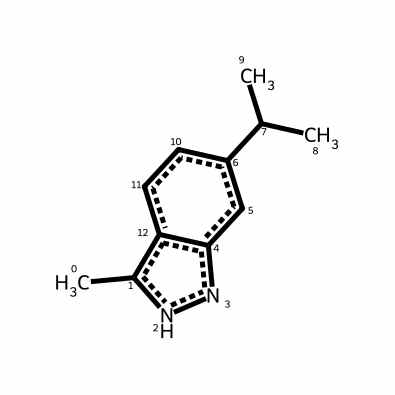 Cc1[nH]nc2cc(C(C)C)ccc12